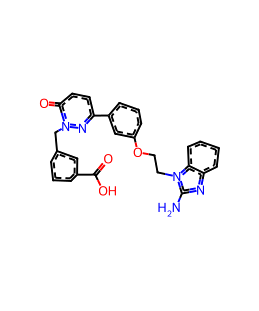 Nc1nc2ccccc2n1CCOc1cccc(-c2ccc(=O)n(Cc3cccc(C(=O)O)c3)n2)c1